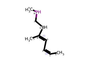 C/C=C\C=C(/C)BCPC